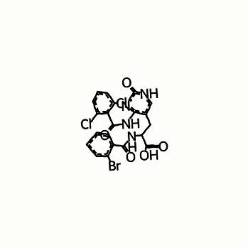 O=C(NC(Cc1c[nH]c(=O)nc1NC(=O)c1c(Cl)cccc1Cl)C(=O)O)c1ccccc1Br